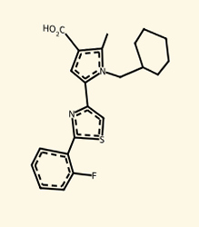 Cc1c(C(=O)O)cc(-c2csc(-c3ccccc3F)n2)n1CC1CCCCC1